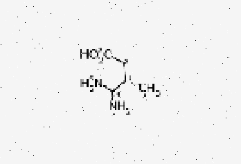 C[C@@H](CC(=O)O)C(N)N